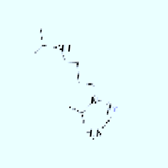 CC(C)NCCCCN(/C=C\N)C(C)C